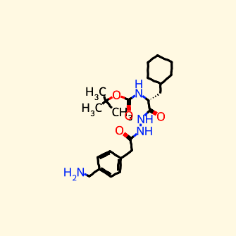 CC(C)(C)OC(=O)N[C@H](CC1CCCCC1)C(=O)NNC(=O)Cc1ccc(CN)cc1